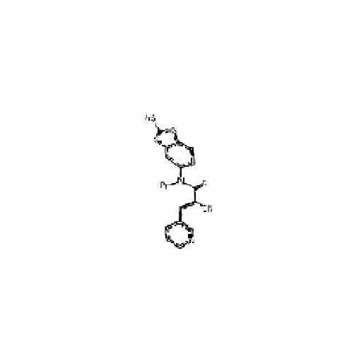 CC(C)N(C(=O)C(C#N)=Cc1cccnc1)c1ccc2nc(S)sc2c1